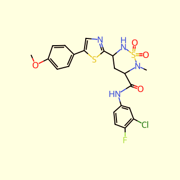 COc1ccc(-c2cnc(C3CC(C(=O)Nc4ccc(F)c(Cl)c4)N(C)S(=O)(=O)N3)s2)cc1